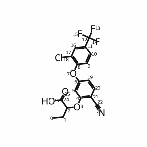 CCC(Oc1cc(Oc2ccc(C(F)(F)F)cc2Cl)ccc1C#N)C(=O)O